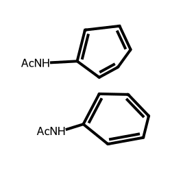 CC(=O)Nc1ccccc1.CC(=O)Nc1ccccc1